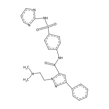 CN(C)CCn1nc(-c2ccccc2)cc1C(=O)Nc1ccc(S(=O)(=O)Nc2ncccn2)cc1